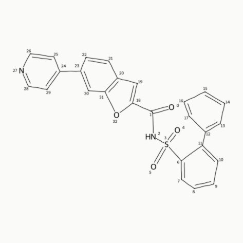 O=C(NS(=O)(=O)c1ccccc1-c1ccccc1)c1cc2ccc(-c3ccncc3)cc2o1